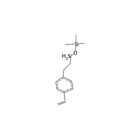 C=Cc1ccc(CC[SiH2]O[Si](C)(C)C)cc1